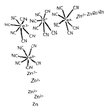 N#[C][Fe-3]([C]#N)([C]#N)([C]#N)([C]#N)[C]#N.N#[C][Fe-3]([C]#N)([C]#N)([C]#N)([C]#N)[C]#N.N#[C][Fe-4]([C]#N)([C]#N)([C]#N)([C]#N)[C]#N.N#[C][Fe-4]([C]#N)([C]#N)([C]#N)([C]#N)[C]#N.[Zn+2].[Zn+2].[Zn+2].[Zn+2].[Zn+2].[Zn+2].[Zn+2].[Zn].[Zn]